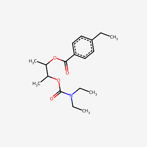 CCc1ccc(C(=O)OC(C)C(C)OC(=O)N(CC)CC)cc1